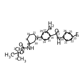 CC(C)(C)OC(=O)N[C@H]1CCCN(c2ccc(C(=O)Nc3ccc(F)cc3)c(N)c2)C1